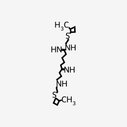 CC1CCC1SCCNCCCC(=N)CCCCC(=N)NCCSC1CCC1C